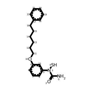 NC(=O)N(S)c1cccc(OCCCCCCc2ccccc2)c1